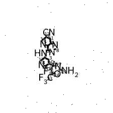 C[C@]1(c2cc(Nc3ncnc4cc(C#N)cnc34)cnc2F)C[C@@H](C(F)(F)F)OC(N)=N1